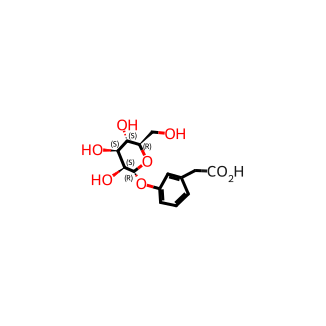 O=C(O)Cc1cccc(O[C@H]2O[C@H](CO)[C@@H](O)[C@H](O)[C@@H]2O)c1